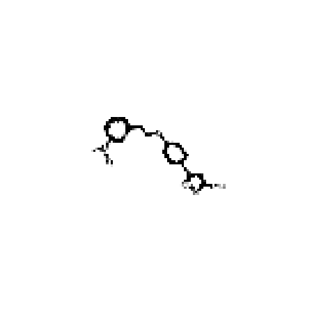 O=[N+]([O-])c1cccc(CCOc2ccc(-c3cc(O)no3)cc2)c1